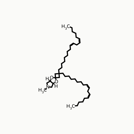 CCCCC/C=C\C/C=C\CCCCCCCCC1(CCCCCCCC/C=C\C/C=C\CCCCC)CC2(C1)O[C@H]1CN(C)C[C@@H]1O2